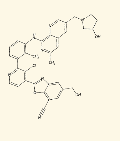 Cc1cc2cc(CN3CCC(O)C3)cnc2c(Nc2cccc(-c3nccc(-c4nc5cc(CO)cc(C#N)c5o4)c3Cl)c2C)n1